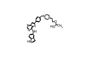 CC(O)OCCN1CCN(Cc2ccc(-c3cc4ncnc(Nc5ccc6[nH]ccc6c5)c4s3)cc2)CC1